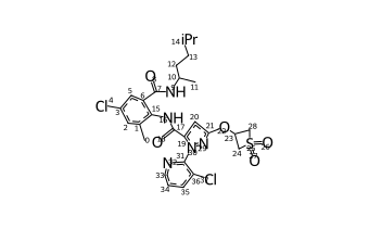 Cc1cc(Cl)cc(C(=O)NC(C)CCC(C)C)c1NC(=O)c1cc(OC2CS(=O)(=O)C2)nn1-c1ncccc1Cl